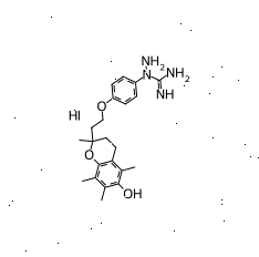 Cc1c(C)c2c(c(C)c1O)CCC(C)(CCOc1ccc(N(N)C(=N)N)cc1)O2.I